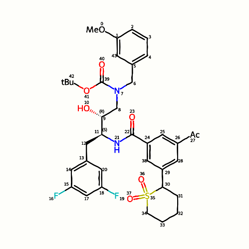 COc1cccc(CN(C[C@@H](O)[C@H](Cc2cc(F)cc(F)c2)NC(=O)c2cc(C(C)=O)cc(C3CCCCS3(=O)=O)c2)C(=O)OC(C)(C)C)c1